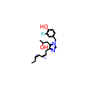 CC/C=C\C=C/Cc1ncn(Cc2ccc(O)c(F)c2)c1CC(C)O